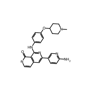 CN1CCC(Oc2ccc(Nc3nc(-c4ccc(N)nc4)cc4c3C(=O)[N]C=C4)cc2)CC1